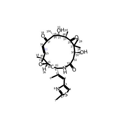 CC(=Cc1csc(C)n1)[C@@H]1C[C@@H]2O[C@]2(C)/C=C/C(=O)[C@H](C)[C@H](O)[C@@H](C)C(=O)C(C)(C)[C@@H](O)CC(=O)N1